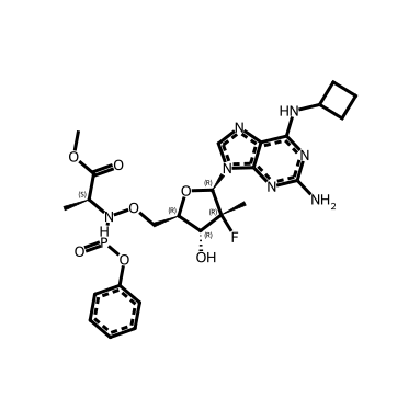 COC(=O)[C@H](C)N(OC[C@H]1O[C@@H](n2cnc3c(NC4CCC4)nc(N)nc32)[C@](C)(F)[C@@H]1O)[PH](=O)Oc1ccccc1